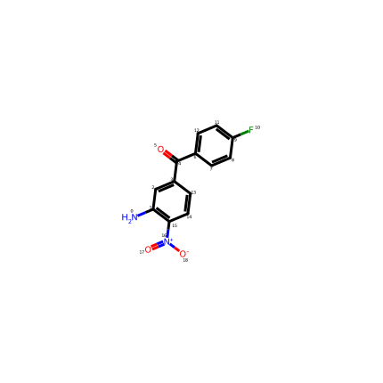 Nc1cc(C(=O)c2ccc(F)cc2)ccc1[N+](=O)[O-]